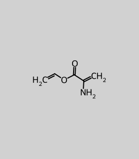 C=COC(=O)C(=C)N